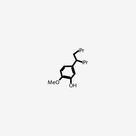 COc1ccc(C(CC(C)C)C(C)C)cc1O